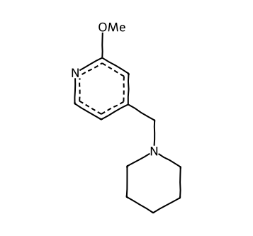 [CH2]Oc1cc(CN2CCCCC2)ccn1